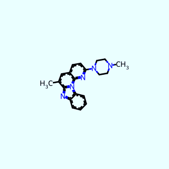 Cc1cc2ccc(N3CCN(C)CC3)nc2n2c1nc1ccccc12